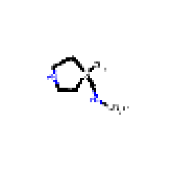 C[Si]1(CNC(=O)O)CCNCC1